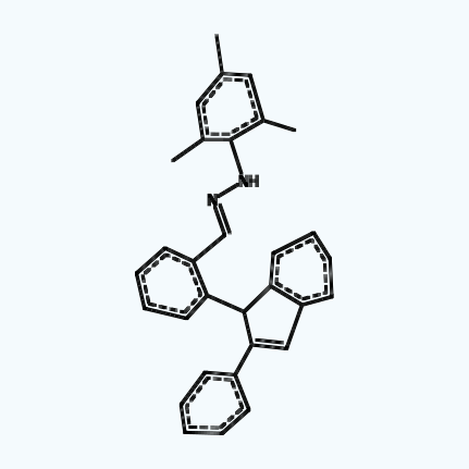 Cc1cc(C)c(N/N=C/c2ccccc2C2C(c3ccccc3)=Cc3ccccc32)c(C)c1